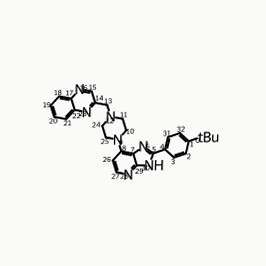 CC(C)(C)c1ccc(-c2nc3c(N4CCN(Cc5cnc6ccccc6n5)CC4)ccnc3[nH]2)cc1